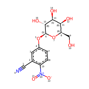 N#Cc1cc(O[C@@H]2O[C@H](CO)[C@H](O)[C@H](O)[C@H]2O)ccc1[N+](=O)[O-]